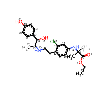 CCOC(=O)C(C)(C)Nc1ccc(CCN[C@@H](C)[C@H](O)c2ccc(O)cc2)c(Cl)c1